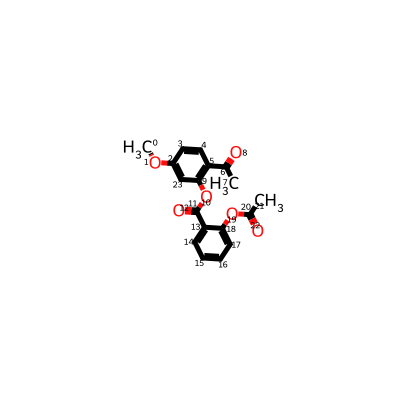 COc1ccc(C(C)=O)c(OC(=O)c2ccccc2OC(C)=O)c1